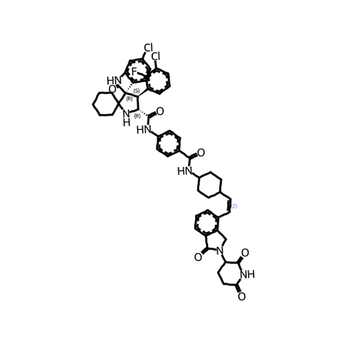 O=C1CCC(N2Cc3c(/C=C\C4CCC(NC(=O)c5ccc(NC(=O)[C@@H]6NC7(CCCCC7)[C@@]7(C(=O)Nc8cc(Cl)ccc87)[C@H]6c6cccc(Cl)c6F)cc5)CC4)cccc3C2=O)C(=O)N1